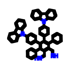 N=Cc1c(C=N)c(-c2ccccc2)c(-c2ccc(-n3c4ccccc4c4ccccc43)cc2)c(-c2ccc(-n3c4ccccc4c4ccccc43)cc2)c1-c1ccccc1